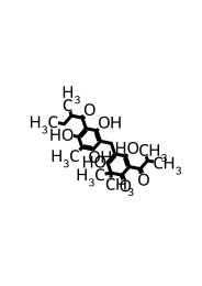 CCC(C)C(=O)c1c(O)c(C)c(O)c(CC2=C(O)C(C)(C)C(=O)C(C(=O)C(C)C)=C2O)c1O